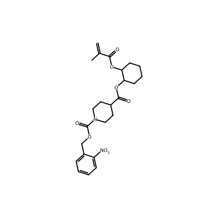 C=C(C)C(=O)OC1CCCCC1OC(=O)C1CCN(C(=O)OCc2ccccc2[N+](=O)[O-])CC1